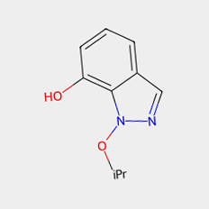 CC(C)On1ncc2cccc(O)c21